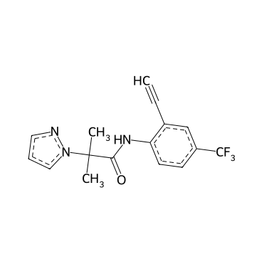 C#Cc1cc(C(F)(F)F)ccc1NC(=O)C(C)(C)n1cccn1